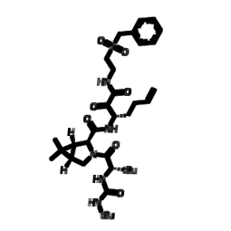 C=CCC[C@H](NC(=O)[C@@H]1[C@@H]2[C@H](CN1C(=O)[C@@H](NC(=O)NC(C)(C)C)C(C)(C)C)C2(C)C)C(=O)C(=O)NCCS(=O)(=O)Cc1ccccc1